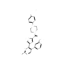 COc1ccc(N2CCN(C(=O)c3cc(-c4nc(N)ncc4-c4cccc(C)c4)c[nH]3)CC2)cc1